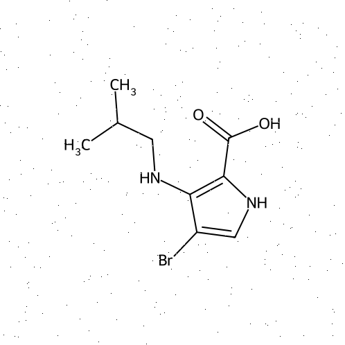 CC(C)CNc1c(Br)c[nH]c1C(=O)O